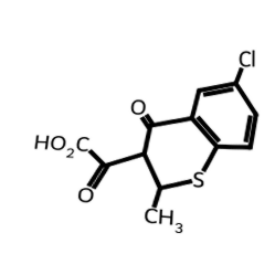 CC1Sc2ccc(Cl)cc2C(=O)C1C(=O)C(=O)O